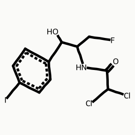 O=C(NC(CF)C(O)c1ccc(I)cc1)C(Cl)Cl